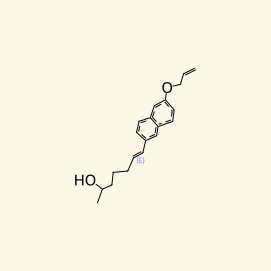 C=CCOc1ccc2cc(/C=C/CCCC(C)O)ccc2c1